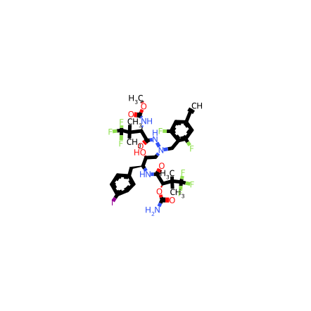 C#Cc1cc(F)c(CN(C[C@H](O)[C@H](Cc2ccc(I)cc2)NC(=O)[C@@H](OC(N)=O)C(C)(C)C(F)(F)F)NC(=O)[C@@H](NC(=O)OC)C(C)(C)C(F)(F)F)c(F)c1